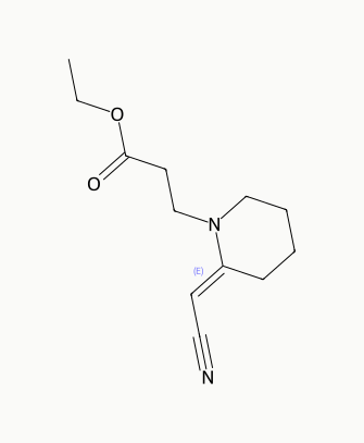 CCOC(=O)CCN1CCCC/C1=C\C#N